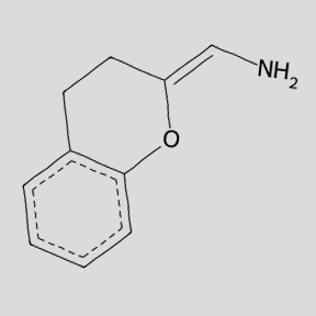 NC=C1CCc2ccccc2O1